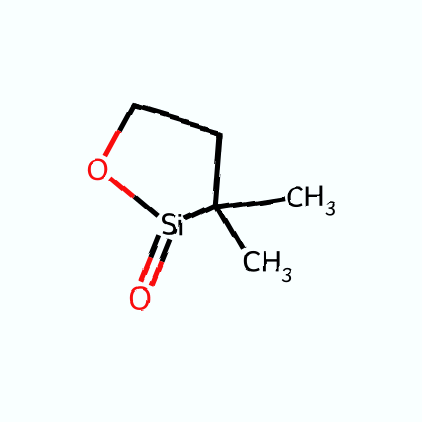 CC1(C)CCO[Si]1=O